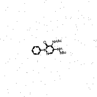 CCCCNc1cnn(-c2ccccc2)c(=O)c1NC(C)=O